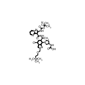 CC(NC(=O)c1c(NC(=O)OC(C)(C)C)nn2cccnc12)c1cc(Cl)c2cn(COCC[Si](C)(C)C)nc2c1N1CC[C@@H](NC(=O)O)C1